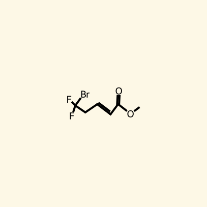 COC(=O)C=CCC(F)(F)Br